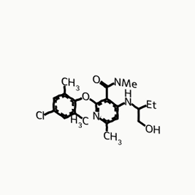 CCC(CO)Nc1cc(C)nc(Oc2c(C)cc(Cl)cc2C)c1C(=O)NC